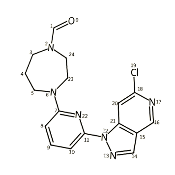 O=CN1CCCN(c2cccc(-n3ncc4cnc(Cl)cc43)n2)CC1